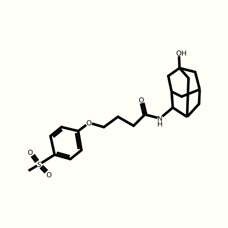 CS(=O)(=O)c1ccc(OCCCC(=O)NC2C3CC4CC2CC(O)(C4)C3)cc1